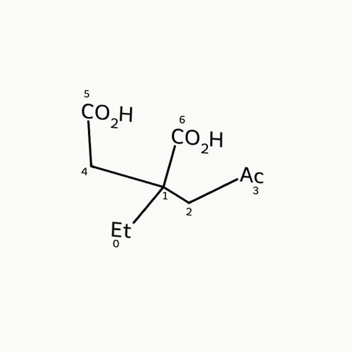 CCC(CC(C)=O)(CC(=O)O)C(=O)O